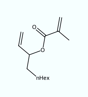 C=CC(CCCCCCC)OC(=O)C(=C)C